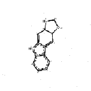 C1=c2[nH]c3ccccc3c2=CC2OCNC12